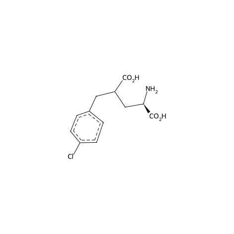 N[C@H](CC(Cc1ccc(Cl)cc1)C(=O)O)C(=O)O